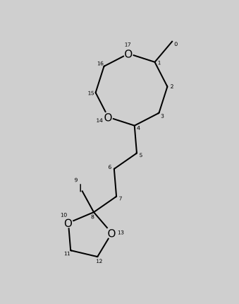 CC1CCC(CCCC2(I)OCCO2)OCCO1